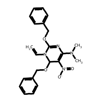 C=CN1C(OCc2ccccc2)=NC(N(C)C)=C([N+](=O)[O-])C1OCc1ccccc1